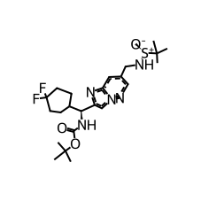 CC(C)(C)OC(=O)N[C@H](c1cn2ncc(CN[S@@+]([O-])C(C)(C)C)cc2n1)C1CCC(F)(F)CC1